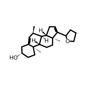 C[C@@H]1C=C2C[C@@H](O)CC[C@]2(C)[C@H]2CC[C@]3(C)C(C4CCCO4)=CC[C@H]3[C@H]12